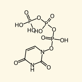 O=c1ccn(OP(=O)(O)OP(=O)(O)OP(=O)(O)O)c(=O)[nH]1